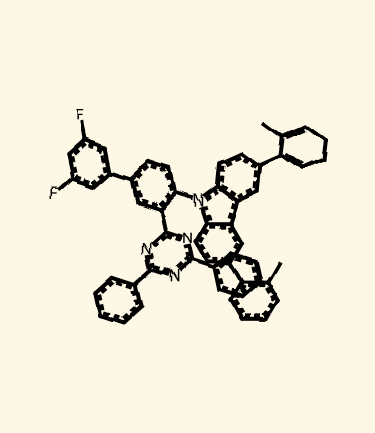 CC1=CCCC=C1c1ccc2c(c1)c1cc(-c3ccccc3C)ccc1n2-c1ccc(-c2cc(F)cc(F)c2)cc1-c1nc(-c2ccccc2)nc(-c2ccccc2)n1